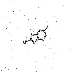 Fc1cnc2nc(Cl)sc2c1